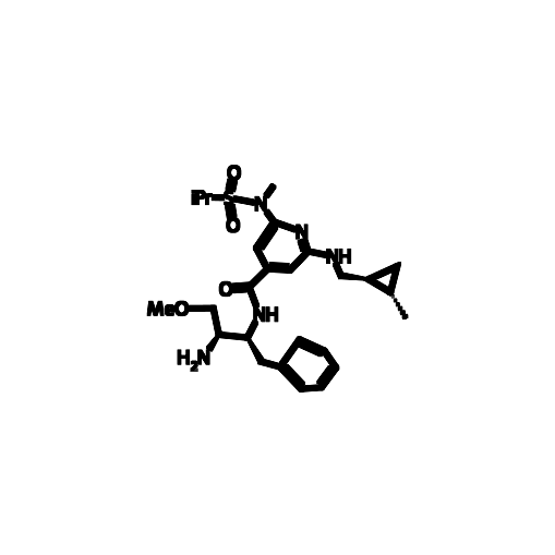 COC[C@H](N)[C@H](Cc1ccccc1)NC(=O)c1cc(NC[C@H]2C[C@@H]2C)nc(N(C)S(=O)(=O)C(C)C)c1